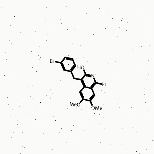 CCc1nc(O)c(Cc2cccc(Br)c2)c2cc(OC)c(OC)cc12